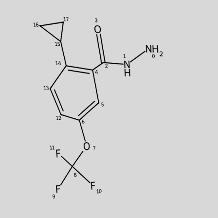 NNC(=O)c1cc(OC(F)(F)F)ccc1C1CC1